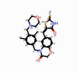 Cc1cc(CN2C(=O)COc3ccc(C=C4SC(=S)NC4=O)cc32)cc(C)c1CN1CCOCC1